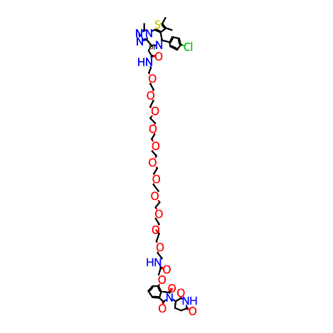 Cc1sc2c(c1C)C(c1ccc(Cl)cc1)=N[C@@H](CC(=O)NCCOCCOCCOCCOCCOCCOCCOCCOCCOCCOCCOCCNC(=O)COc1cccc3c1C(=O)N(C1CCC(=O)NC1=O)C3=O)c1nnc(C)n1-2